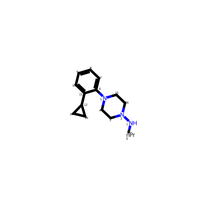 CCCNN1CCN(c2ccccc2C2CC2)CC1